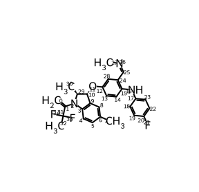 C=C(N1c2ccc(C)cc2[C@@H](Oc2ccc(Nc3ccc(F)cc3)c(/C=N\C)c2)[C@@H]1C)C(C)(F)F